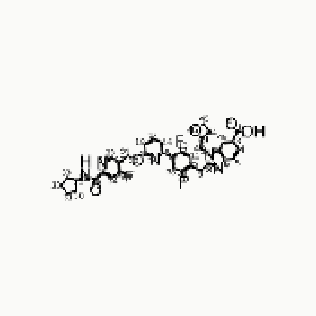 O=C(O)c1ccc2nc(Cc3cc(F)c(-c4cccc(OCc5cnc(C(=O)NC6CCCC6)cc5F)n4)cc3F)n(C[C@@H]3CCO3)c2c1